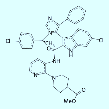 COC(=O)C1CCN(c2ncccc2NC(=O)c2[nH]c3cc(Cl)ccc3c2-c2c(-c3ccccc3)ncn2[C@@H](C)c2ccc(Cl)cc2)CC1